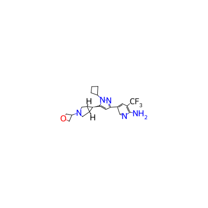 Nc1ncc(-c2cc([C@H]3[C@@H]4CN(C5COC5)C[C@@H]43)n(C3CCC3)n2)cc1C(F)(F)F